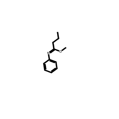 CCCC(=Nc1ccccc1)OC